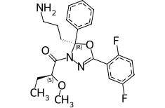 CC[C@H](OC)C(=O)N1N=C(c2cc(F)ccc2F)O[C@]1(CCCN)c1ccccc1